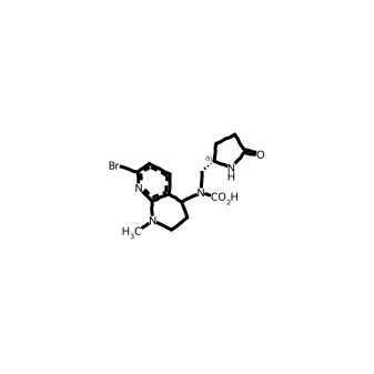 CN1CCC(N(C[C@@H]2CCC(=O)N2)C(=O)O)c2ccc(Br)nc21